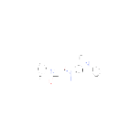 CC(C)CN(c1ccccc1)c1ccc(NC(=O)C2CC(=O)N(c3ccccc3C(C)C)C2)cc1